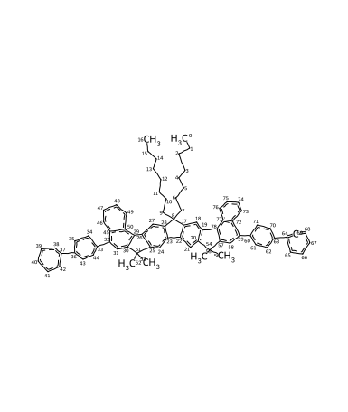 CCCCCCCCC1(CCCCCCCC)c2cc3c(cc2-c2cc4c(cc21)-c1c(cc(-c2ccc(-c5ccccc5)cc2)c2ccccc12)C4(C)C)C(C)(C)c1cc(-c2ccc(-c4ccccc4)cc2)c2ccccc2c1-3